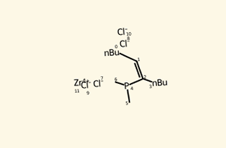 CCCCC=C(CCCC)P(C)C.[Cl-].[Cl-].[Cl-].[Cl-].[Zr+4]